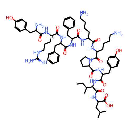 CCC(C)C(NC(=O)C(Cc1ccc(O)cc1)NC(=O)C1CCCN1C(=O)C(CCCCN)NC(=O)C(CCCCN)NC(=O)C(Cc1ccccc1)NC(=O)C(Cc1ccccc1)NC(=O)[C@@H](CCCNC(=N)N)NC(=O)C(N)Cc1ccc(O)cc1)C(=O)NC(CC(C)C)C(=O)O